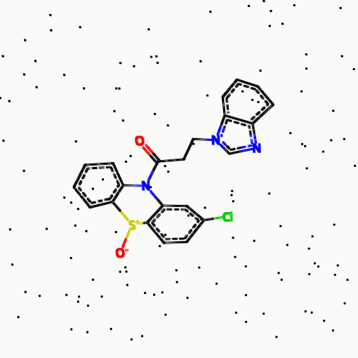 O=C(CCn1cnc2ccccc21)N1c2ccccc2[S+]([O-])c2ccc(Cl)cc21